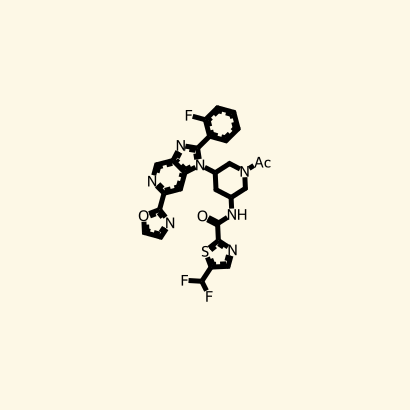 CC(=O)N1CC(NC(=O)c2ncc(C(F)F)s2)CC(n2c(-c3ccccc3F)nc3cnc(-c4ncco4)cc32)C1